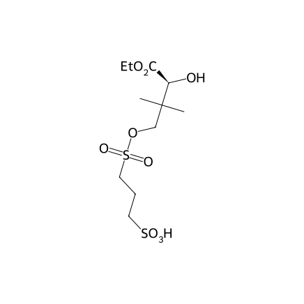 CCOC(=O)[C@@H](O)C(C)(C)COS(=O)(=O)CCCS(=O)(=O)O